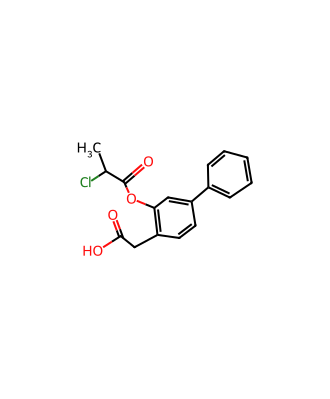 CC(Cl)C(=O)Oc1cc(-c2ccccc2)ccc1CC(=O)O